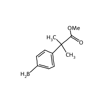 Bc1ccc(C(C)(C)C(=O)OC)cc1